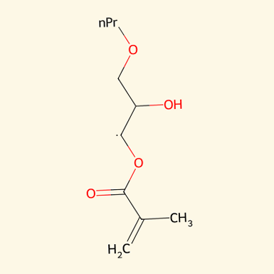 C=C(C)C(=O)O[CH]C(O)COCCC